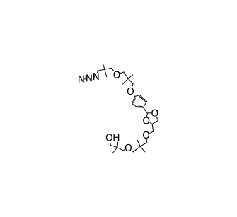 CC(C)(CO)COCC(C)(C)COCC1COC(c2ccc(OCC(C)(C)COCC(C)(C)CN=[N+]=[N-])cc2)O1